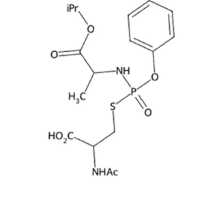 CC(=O)NC(CSP(=O)(NC(C)C(=O)OC(C)C)Oc1ccccc1)C(=O)O